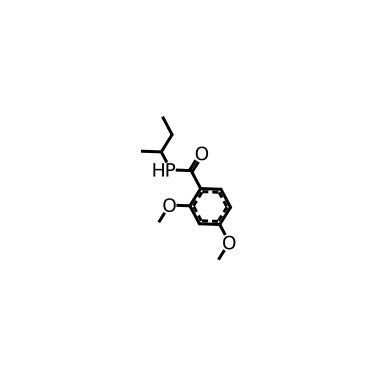 CCC(C)PC(=O)c1ccc(OC)cc1OC